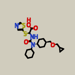 O=C(O)C(NC(=O)N(C1CCCCC1)[C@H]1CC[C@H](COCC2CC2)CC1)Sc1cncs1